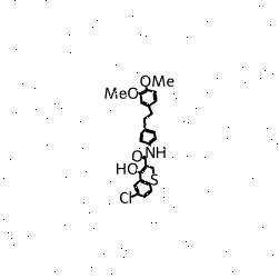 COc1ccc(CCc2ccc(NC(=O)C3=C(O)c4cc(Cl)ccc4SC3)cc2)cc1OC